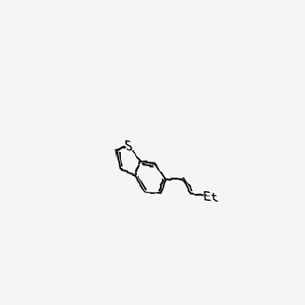 CC/C=C/c1ccc2ccsc2c1